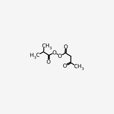 CC(=O)CC(=O)OOC(=O)C(C)C